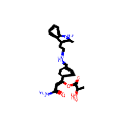 Cc1[nH]c2ccccc2c1CCNCc1ccc(C(=CC(N)=O)OC(=O)C(C)O)cc1